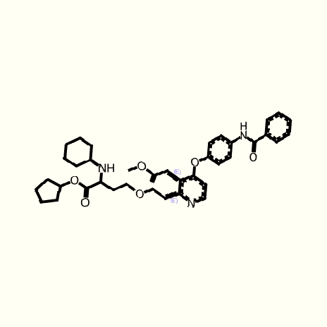 C=C(/C=c1/c(Oc2ccc(NC(=O)c3ccccc3)cc2)ccn/c1=C/COCCC(NC1CCCCC1)C(=O)OC1CCCC1)OC